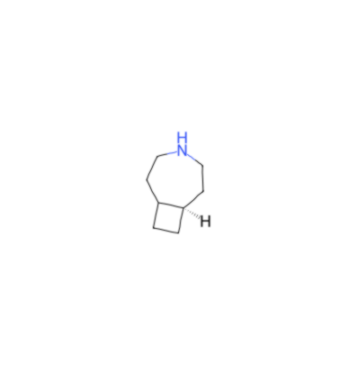 C1CC2CC[C@@H]2CCN1